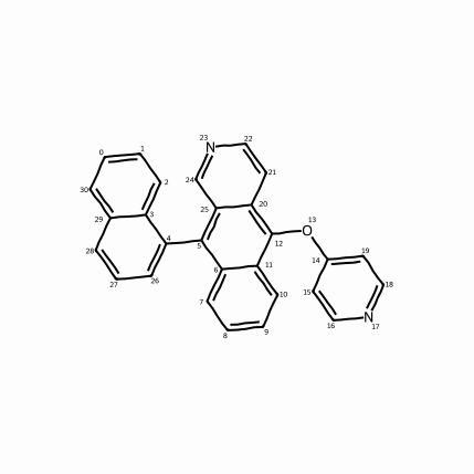 c1ccc2c(-c3c4ccccc4c(Oc4ccncc4)c4ccncc34)cccc2c1